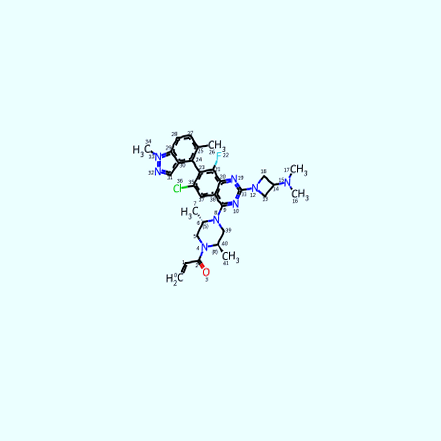 C=CC(=O)N1C[C@H](C)N(c2nc(N3CC(N(C)C)C3)nc3c(F)c(-c4c(C)ccc5c4cnn5C)c(Cl)cc23)C[C@H]1C